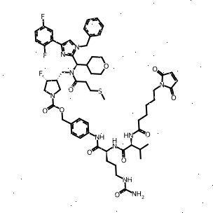 CSCCC(=O)N(C[C@@H]1CN(C(=O)OCc2ccc(NC(=O)[C@H](CCCNC(N)=O)NC(=O)[C@@H](NC(=O)CCCCCN3C(=O)C=CC3=O)C(C)C)cc2)C[C@@H]1F)[C@@H](c1nc(-c2cc(F)ccc2F)cn1Cc1ccccc1)C1CCOCC1